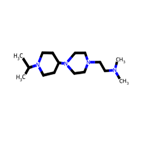 CC(C)N1CCC(N2CCN(CCN(C)C)CC2)CC1